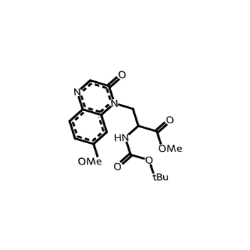 COC(=O)C(Cn1c(=O)cnc2ccc(OC)cc21)NC(=O)OC(C)(C)C